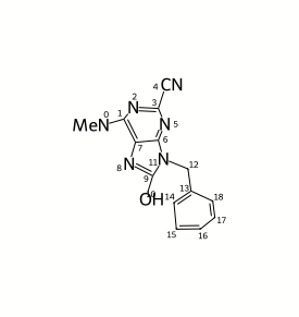 CNc1nc(C#N)nc2c1nc(O)n2Cc1ccccc1